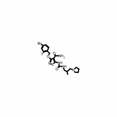 CC(CNC(=O)Nc1snc(OCc2ccc(Br)cc2F)c1C(N)=O)CN1CCCC1